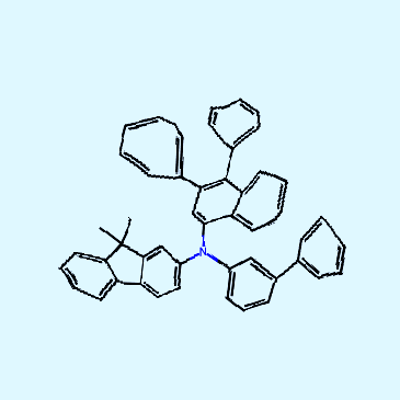 CC1(C)c2ccccc2-c2ccc(N(c3cccc(-c4ccccc4)c3)c3cc(-c4ccccc4)c(-c4ccccc4)c4ccccc34)cc21